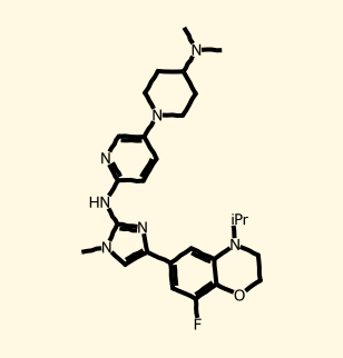 CC(C)N1CCOc2c(F)cc(-c3cn(C)c(Nc4ccc(N5CCC(N(C)C)CC5)cn4)n3)cc21